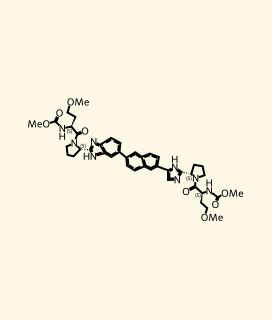 COCC[C@H](NC(=O)OC)C(=O)N1CCC[C@H]1c1ncc(-c2ccc3cc(-c4ccc5nc([C@@H]6CCCN6C(=O)[C@H](CCOC)NC(=O)OC)[nH]c5c4)ccc3c2)[nH]1